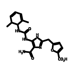 CC1=CC=CC(C)C1NC(=O)Nc1[nH]c(Cc2ccc(C(=O)O)o2)nc1C(N)=O